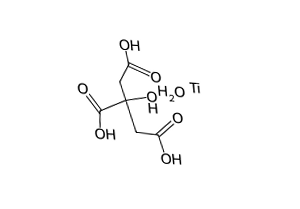 O.O=C(O)CC(O)(CC(=O)O)C(=O)O.[Ti]